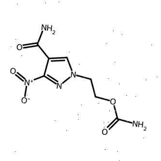 NC(=O)OCCn1cc(C(N)=O)c([N+](=O)[O-])n1